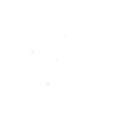 C=Cc1ccccc1C[Si](O[Si](C)(C)C)(O[Si](C)(C)C)O[Si](C)(C)C